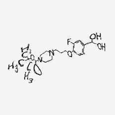 CC(C)(C)OC(=O)N1CCN(CCCOc2ccc(C(O)O)cc2F)CC1